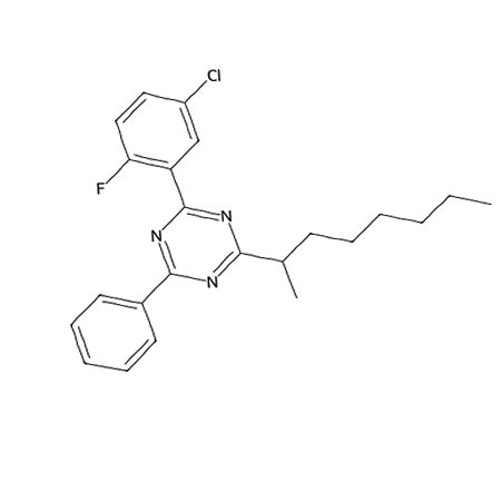 CCCCCCC(C)c1nc(-c2ccccc2)nc(-c2cc(Cl)ccc2F)n1